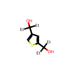 CCC(O)(CC)c1csc(C(O)(CC)CC)c1